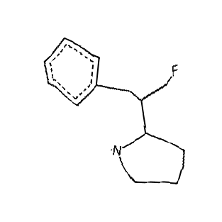 FC(c1ccccc1)C1CCC[N]1